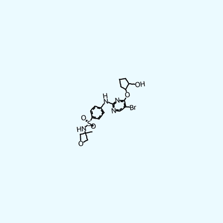 CC1(NS(=O)(=O)c2ccc(Nc3ncc(Br)c(OC4CCCC4O)n3)cc2)COC1